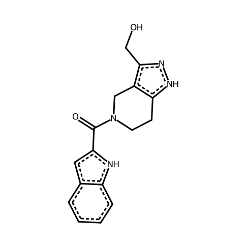 O=C(c1cc2ccccc2[nH]1)N1CCc2[nH]nc(CO)c2C1